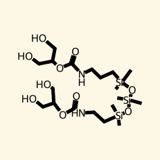 C[Si](C)(CCCNC(=O)OC(CO)CO)O[Si](C)(C)O[Si](C)(C)CCNC(=O)OC(CO)CO